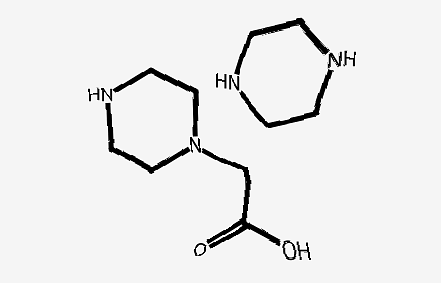 C1CNCCN1.O=C(O)CN1CCNCC1